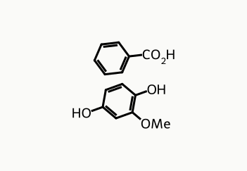 COc1cc(O)ccc1O.O=C(O)c1ccccc1